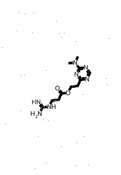 CN(C)c1ncnc(CCOC(=O)CCNC(=N)N)n1